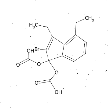 CCC1=C(Br)C(OC(=O)O)(OC(=O)O)c2cccc(CC)c21